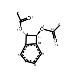 CC(=O)O[C@H]1c2ccccc2[C@@H]1OC(C)=O